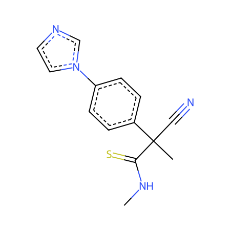 CNC(=S)C(C)(C#N)c1ccc(-n2ccnc2)cc1